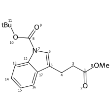 COC(=O)CCc1cn(C(=O)OC(C)(C)C)c2ccccc12